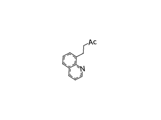 CC(=O)CCc1cccc2cccnc12